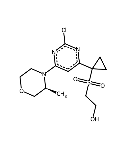 C[C@H]1COCCN1c1cc(C2(S(=O)(=O)CCO)CC2)nc(Cl)n1